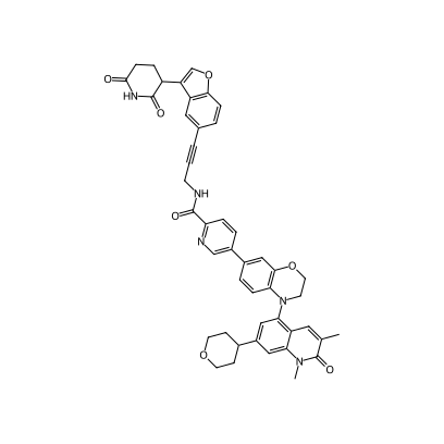 Cc1cc2c(N3CCOc4cc(-c5ccc(C(=O)NCC#Cc6ccc7occ(C8CCC(=O)NC8=O)c7c6)nc5)ccc43)cc(C3CCOCC3)cc2n(C)c1=O